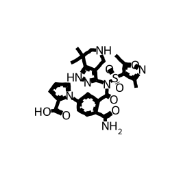 Cc1noc(C)c1S(=O)(=O)N(C(=O)c1cc(-n2cccc2C(=O)O)ccc1C(N)=O)c1n[nH]c2c1CNCC2(C)C